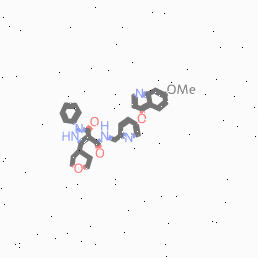 COc1ccc2c(Oc3ccc(CNC(=O)c4c(C5CCOCC5)[nH]n(-c5ccccc5)c4=O)nc3)ccnc2c1